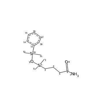 C[Si](C)(CCCC(N)=O)O[Si](C)(C)c1ccccc1